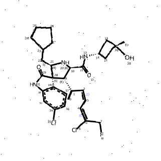 CC(/C=C\C=C(\Cl)CF)[C@H]1[C@H](C(=O)N[C@H]2C[C@@](C)(O)C2)N[C@H](CC2CCCC2)[C@]12C(=O)Nc1cc(Cl)ccc12